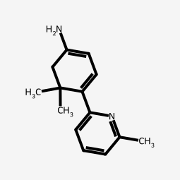 Cc1cccc(C2=CC=C(N)CC2(C)C)n1